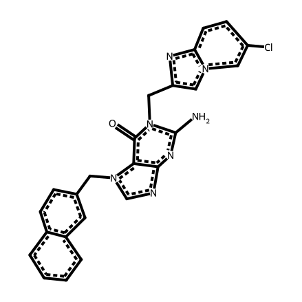 Nc1nc2ncn(Cc3ccc4ccccc4c3)c2c(=O)n1Cc1cn2cc(Cl)ccc2n1